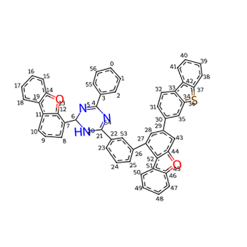 c1ccc(C2=NC(c3cccc4c3oc3ccccc34)NC(c3cccc(-c4cc(-c5ccc6c(c5)sc5ccccc56)cc5oc6ccccc6c45)c3)=N2)cc1